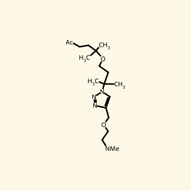 CNCCOCc1cn(C(C)(C)CCOC(C)(C)CCC(C)=O)nn1